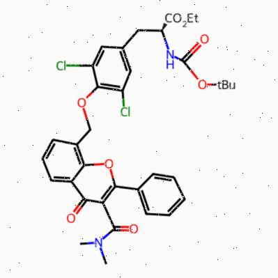 CCOC(=O)[C@H](Cc1cc(Cl)c(OCc2cccc3c(=O)c(C(=O)N(C)C)c(-c4ccccc4)oc23)c(Cl)c1)NC(=O)OC(C)(C)C